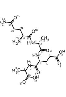 C[C@@H](NC(=O)[C@H](CCC(=O)O)NC(=O)[C@@H](C)NC(=O)[C@@H](N)CCC(N)=O)C(=O)O